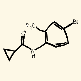 O=C(Nc1ccc(Br)cc1C(F)(F)F)C1CC1